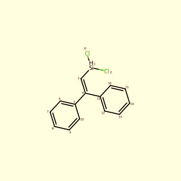 Cl[SiH](Cl)C=C(c1ccccc1)c1ccccc1